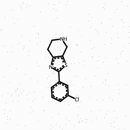 Clc1cccc(-c2nc3c(s2)CNCC3)c1